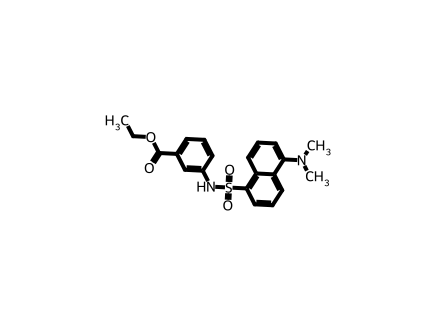 CCOC(=O)c1cccc(NS(=O)(=O)c2cccc3c(N(C)C)cccc23)c1